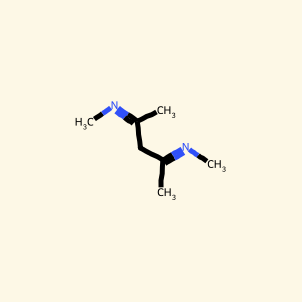 CN=C(C)CC(C)=NC